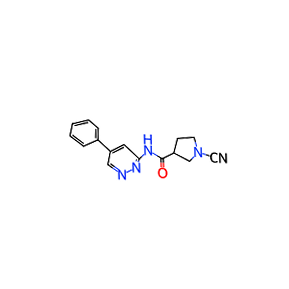 N#CN1CCC(C(=O)Nc2cc(-c3ccccc3)cnn2)C1